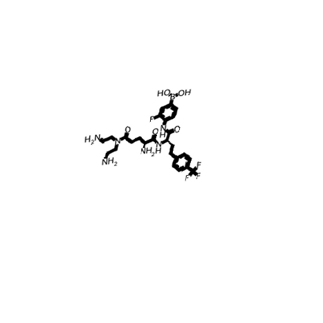 NCCN(CCN)C(=O)CC[C@H](N)C(=O)N[C@H](CCc1ccc(C(F)(F)F)cc1)C(=O)Nc1ccc(B(O)O)cc1F